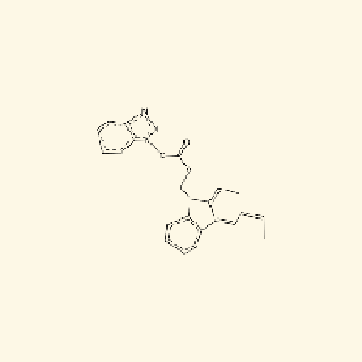 C\C=C/C=C1\C(=C/C)C(COC(=O)On2nnc3ccccc32)c2ccccc21